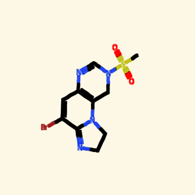 CS(=O)(=O)N1C=NC2=C(C1)N1CCN=C1C(Br)=C2